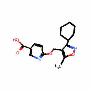 Cc1onc(C2CCCCC2)c1COc1ccc(C(=O)O)cn1